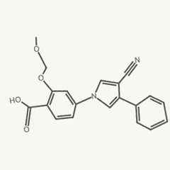 COCOc1cc(-n2cc(C#N)c(-c3ccccc3)c2)ccc1C(=O)O